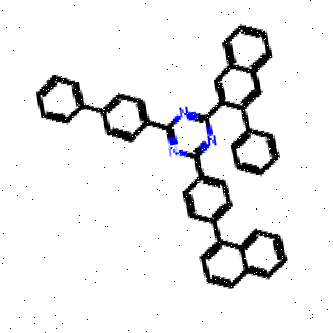 c1ccc(-c2ccc(-c3nc(-c4ccc(-c5cccc6ccccc56)cc4)nc(-c4cc5ccccc5cc4-c4ccccc4)n3)cc2)cc1